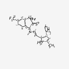 Cc1cc(C)c(/C=N/N=C2\C(=O)Nc3cc(C(F)(F)F)ccc32)[nH]1